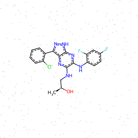 C[C@H](O)CNc1nc2c(-c3ccccc3Cl)n[nH]c2nc1Nc1ccc(F)cc1F